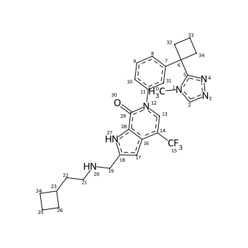 Cn1cnnc1C1(c2cccc(-n3cc(C(F)(F)F)c4cc(CNCCC5CCC5)[nH]c4c3=O)c2)CCC1